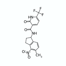 Cc1ccc2c(c1[N+](=O)[O-])CCC2NC(=O)c1ccc(C(F)(F)F)[nH]c1=O